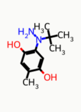 Cc1cc(O)c(N(N)C(C)(C)C)cc1O